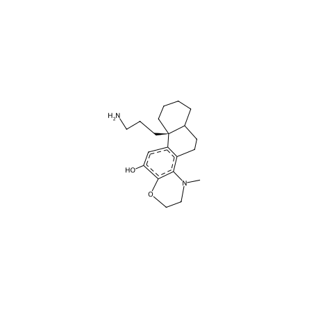 CN1CCOc2c(O)cc3c(c21)CCC1CCCC[C@@]31CCCN